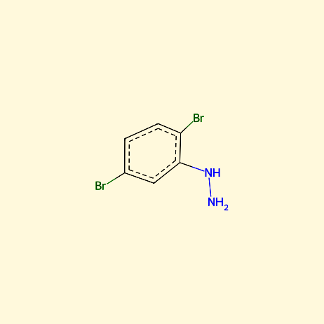 NNc1cc(Br)ccc1Br